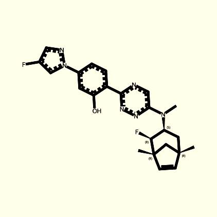 CN(c1cnc(-c2ccc(-n3cc(F)cn3)cc2O)nn1)[C@H]1C[C@]2(C)C=C[C@@](C)(C2)[C@H]1F